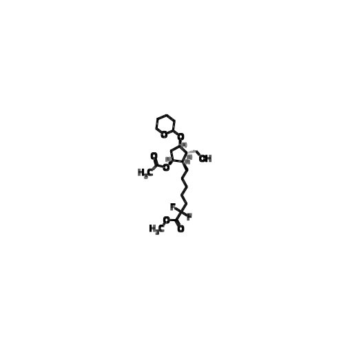 COC(=O)C(F)(F)CCCCC[C@@H]1[C@@H](CO)[C@H](OC2CCCCO2)C[C@@H]1OC(C)=O